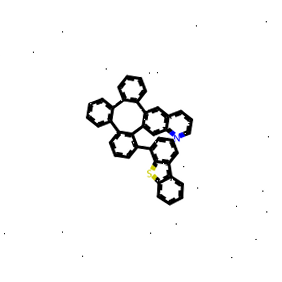 c1ccc2c(c1)-c1ccccc1-c1cccc(-c3cccc4c3sc3ccccc34)c1-c1cc3ncccc3cc1-2